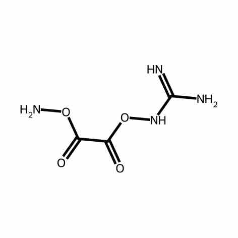 N=C(N)NOC(=O)C(=O)ON